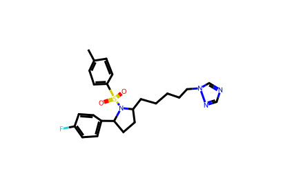 Cc1ccc(S(=O)(=O)N2C(CCCCCn3cncn3)CCC2c2ccc(F)cc2)cc1